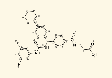 O=C(O)CCNC(=O)c1ccc(C(NC(=O)Nc2cc(F)cc(F)c2)c2ccc(C3=CCCCC3)cc2)cc1